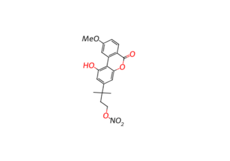 COc1ccc2c(=O)oc3cc(C(C)(C)CCO[N+](=O)[O-])cc(O)c3c2c1